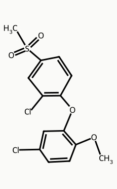 COc1ccc(Cl)cc1Oc1ccc(S(C)(=O)=O)cc1Cl